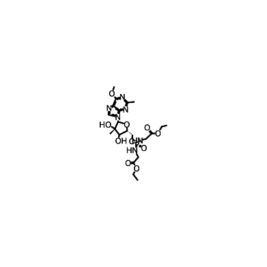 CCOC(=O)CNP(=O)(NCC(=O)OCC)OC[C@H]1O[C@@H](n2cnc3c(OC)nc(C)nc32)[C@@](C)(O)C1O